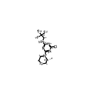 C[C@@H]1COCCN1c1nc(Cl)nc(NCC(F)(F)F)n1